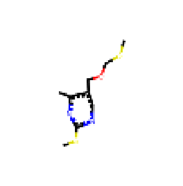 CSCOCc1cnc(SC)nc1C